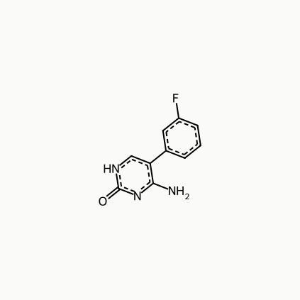 Nc1nc(=O)[nH]cc1-c1cccc(F)c1